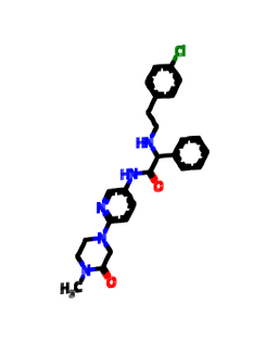 CN1CCN(c2ccc(NC(=O)C(NCCc3ccc(Cl)cc3)c3ccccc3)cn2)CC1=O